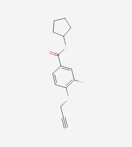 C#CCOc1ccc(C(=O)NC2CCCC2)cc1F